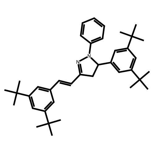 CC(C)(C)c1cc(C=CC2=NN(c3ccccc3)C(c3cc(C(C)(C)C)cc(C(C)(C)C)c3)C2)cc(C(C)(C)C)c1